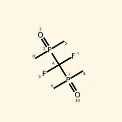 CP(C)(=O)C(F)(F)P(C)(C)=O